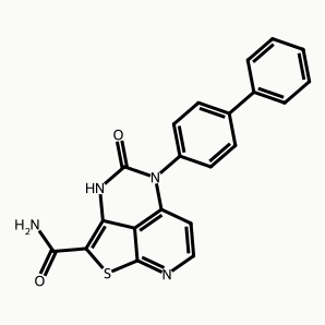 NC(=O)c1sc2nccc3c2c1NC(=O)N3c1ccc(-c2ccccc2)cc1